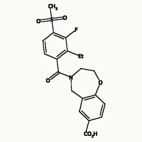 CCc1c(C(=O)N2CCOc3ccc(C(=O)O)cc3C2)ccc(S(C)(=O)=O)c1F